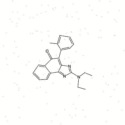 CCN(CC)C1=NC2=C(c3ccccc3C)C(=O)c3ccccc3C2=N1